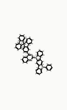 c1ccc(-n2c3ccccc3c3cc4c(cc32)c2ccccc2n4-c2nc(-c3ccc4c(c3)-c3ccccc3C43c4ccccc4-c4ccccc43)c3ccccc3n2)cc1